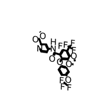 COC(=O)c1cc(NC(=O)c2c(Oc3ccc(OC(F)(F)F)cc3OC)cc(OC)c(C(F)(F)F)c2F)ccn1